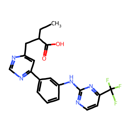 CCC(Cc1cc(-c2cccc(Nc3nccc(C(F)(F)F)n3)c2)ncn1)C(=O)O